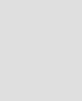 CCCN(OCCNC(=O)NCC)C(=O)C1=Cc2sc(CC3CN(C)C3)cc2N=C(N)C1